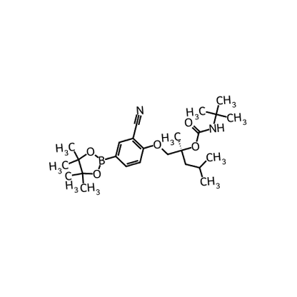 CC(C)C[C@@](C)(COc1ccc(B2OC(C)(C)C(C)(C)O2)cc1C#N)OC(=O)NC(C)(C)C